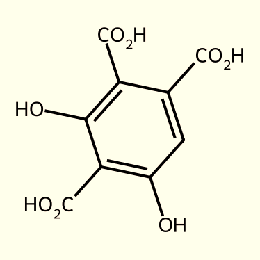 O=C(O)c1cc(O)c(C(=O)O)c(O)c1C(=O)O